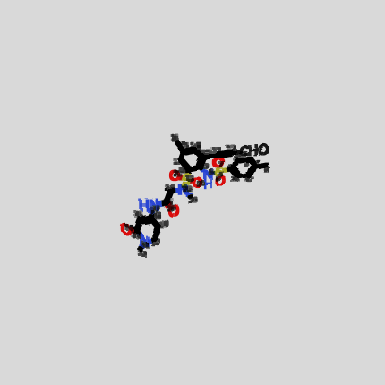 Cc1ccc(S(=O)(=O)Nc2c(C#CC=O)cc(C)cc2S(=O)(=O)N(C)CC(=O)Nc2ccn(C)c(=O)c2)cc1